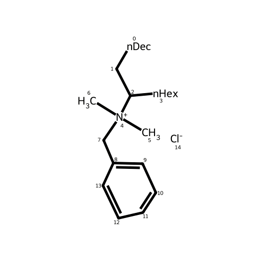 CCCCCCCCCCCC(CCCCCC)[N+](C)(C)Cc1ccccc1.[Cl-]